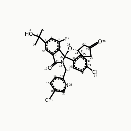 CC(C)(O)c1cc(F)c2c(c1)C(=O)N(Cc1ccc(Cl)cn1)[C@@]2(O[C@H]1CCC(=O)C1)c1ccc(Cl)cc1